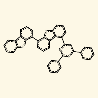 c1ccc(-c2nc(-c3ccccc3)nc(-c3cccc4sc5c(-c6cccc7c6sc6ccccc67)cccc5c34)n2)cc1